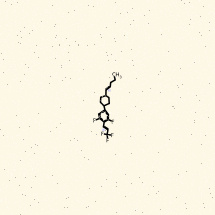 CCC/C=C/C1CCC(c2cc(F)c(/C=C/C(F)(F)F)c(F)c2)CC1